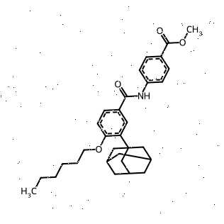 CCCCCCOc1ccc(C(=O)Nc2ccc(C(=O)OC)cc2)cc1C12CC3CC(CC(C3)C1)C2